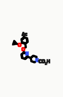 CC(=O)c1ccc(COc2cccc(C3CCN(C(=O)O)CC3)n2)c(OC2CC2)c1